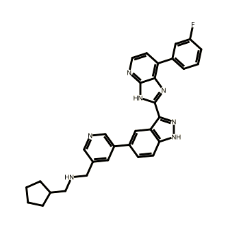 Fc1cccc(-c2ccnc3[nH]c(-c4n[nH]c5ccc(-c6cncc(CNCC7CCCC7)c6)cc45)nc23)c1